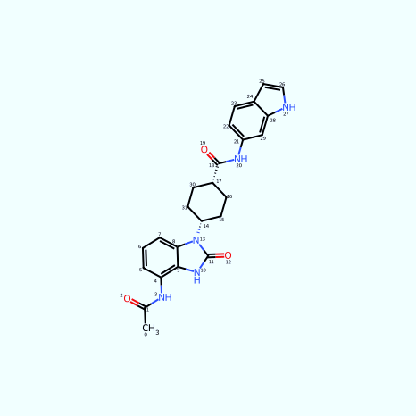 CC(=O)Nc1cccc2c1[nH]c(=O)n2[C@H]1CC[C@@H](C(=O)Nc2ccc3cc[nH]c3c2)CC1